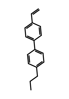 C=Cc1ccc(-c2ccc(CCC)cc2)cc1